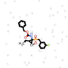 C=CC1CC1(NC(=O)OCc1ccccc1)P(=O)(Cc1cccc(F)c1)OCC